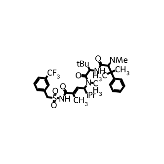 CNC(C(=O)NC(C(=O)N(C)C(/C=C(\C)C(=O)NS(=O)(=O)Cc1cccc(C(F)(F)F)c1)C(C)C)C(C)(C)C)C(C)(C)c1ccccc1